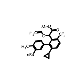 C=COC(C(=O)OC)c1c(C(F)(F)F)ccc(C2CC2)c1-c1ccc(C)c(CCCC)c1